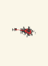 CCCC[C@H](NC(=O)[C@H](CCCN)NC(=O)[C@H](Cc1c[nH]cn1)NC(=O)[C@H](CCC(N)=O)NC(=O)[C@H](CO)NC(=O)CNC(=O)COCCOCCNC(=O)CCCCCCCCCCCCCCCc1nnn[nH]1)C(=O)N[C@H]1CCC(=O)NCCCC[C@@H](C(N)=O)NC(=O)[C@H](Cc2c[nH]c3ccccc23)NC(=O)[C@H](CCCNC(=N)N)NC(=O)[C@@H](Cc2ccccc2)NC(=O)[C@@H]2C[C@@H](O)CN2C1=O